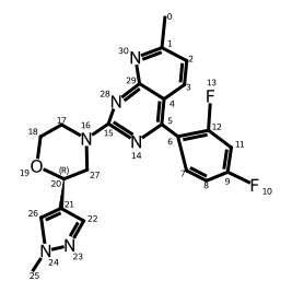 Cc1ccc2c(-c3ccc(F)cc3F)nc(N3CCO[C@H](c4cnn(C)c4)C3)nc2n1